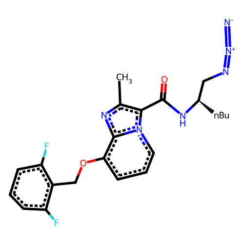 CCCC[C@H](CN=[N+]=[N-])NC(=O)c1c(C)nc2c(OCc3c(F)cccc3F)cccn12